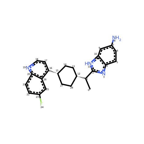 CC(c1nc2ccc(N)cc2[nH]1)[C@H]1CC[C@@H](c2ccnc3ccc(F)cc32)CC1